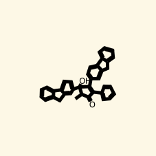 CC1C(=O)C(c2ccccc2)=C(c2ccc3c(c2)Cc2ccccc2-3)C1(O)c1ccc2c(c1)Cc1ccccc1-2